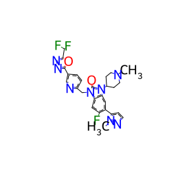 CN1CCC(n2c(=O)n(Cc3ccc(-c4nnc(C(F)F)o4)cn3)c3cc(F)c(-c4ccnn4C)cc32)CC1